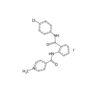 C[n+]1ccc(C(=O)Nc2ccccc2C(=O)Nc2ccc(Cl)cc2)cc1.[I-]